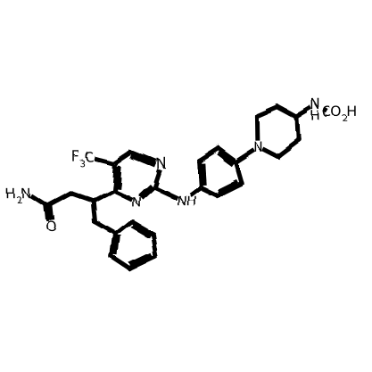 NC(=O)CC(Cc1ccccc1)c1nc(Nc2ccc(N3CCC(NC(=O)O)CC3)cc2)ncc1C(F)(F)F